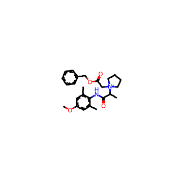 COc1cc(C)c(NC(=O)C(C)[N+]2(CC(=O)OCc3ccccc3)CCCC2)c(C)c1